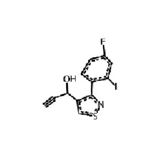 C#CC(O)c1csnc1-c1ccc(F)cc1I